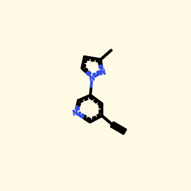 C#Cc1cncc(-n2ccc(C)n2)c1